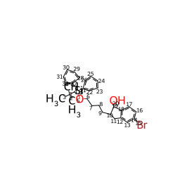 CC(C)(C)[Si](OCCCCC1Cc2cc(Br)ccc2C1O)(c1ccccc1)c1ccccc1